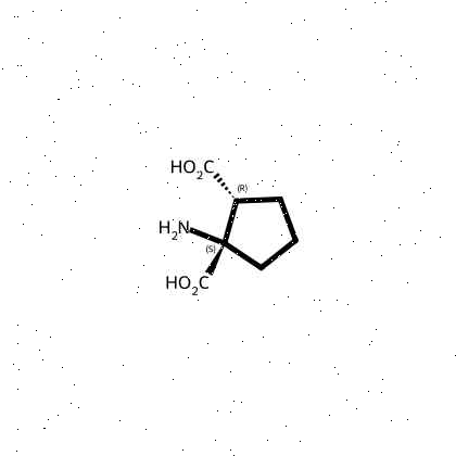 N[C@@]1(C(=O)O)CCC[C@H]1C(=O)O